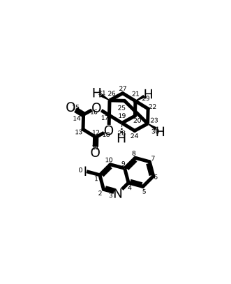 Ic1cnc2ccccc2c1.O=C1CC(=O)OC2(O1)[C@H]1C[C@H]3C[C@H](C1)C[C@H]2C3